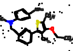 CC(=O)N(Cc1cccc(-c2sc(C(=O)O)c(OCC(=O)O)c2C)c1)c1ccc(C(C)(C)C)cc1